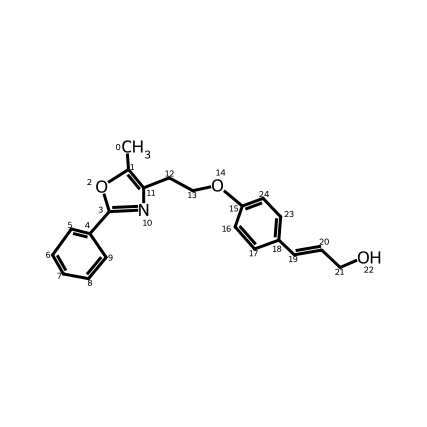 Cc1oc(-c2ccccc2)nc1CCOc1ccc(/C=C/CO)cc1